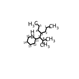 CCCC(CCC)C(C(C)C)C1CCCCN1